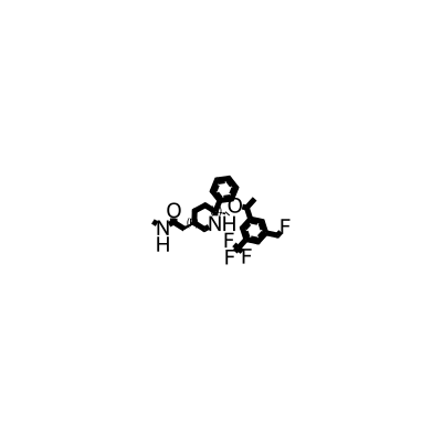 CNC(=O)C[C@H]1CC[C@@](COC(C)c2cc(CF)cc(C(F)(F)F)c2)(c2ccccc2)NC1